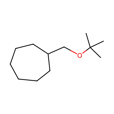 CC(C)(C)OCC1CCCCCC1